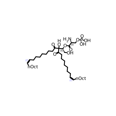 CCCCCCCC/C=C\CCCCCCCC(=O)C(O)(C(=O)CCCCCCC/C=C\CCCCCCCC)[C@H](CO)OC(=O)[C@@H](N)COP(=O)(O)O